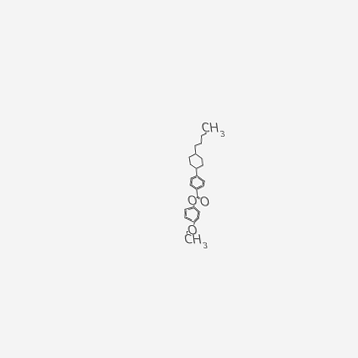 CCCCCC1CCC(c2ccc(C(=O)Oc3ccc(OCC)cc3)cc2)CC1